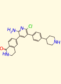 Nc1nc(Cl)c(-c2ccc(C3CCNCC3)cc2)cc1-c1ccc2c(c1)CCNC2=O